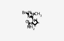 Cn1nc(Br)nc1N1CCC[C@H]1C(N)=O